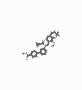 COC(=O)c1ccc(-c2cccc(N(Cc3ccc4c(c3OC)OC(C)(C)C=C4)C(=O)C3CC3)c2)cc1